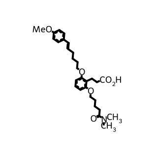 COc1ccc(/C=C/CCCCOc2cccc(OCCCCC(=O)N(C)C)c2CCC(=O)O)cc1